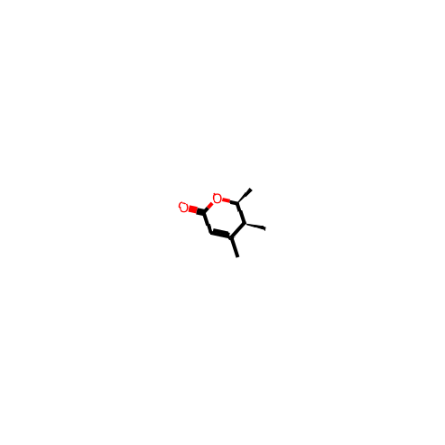 CC1=CC(=O)O[C@@H](C)[C@H]1C